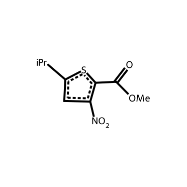 COC(=O)c1sc(C(C)C)cc1[N+](=O)[O-]